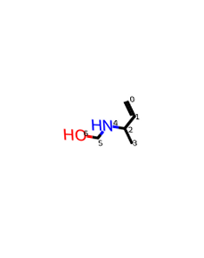 C=CC(C)NCO